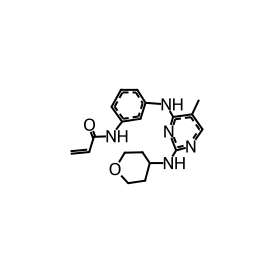 C=CC(=O)Nc1cccc(Nc2nc(NC3CCOCC3)ncc2C)c1